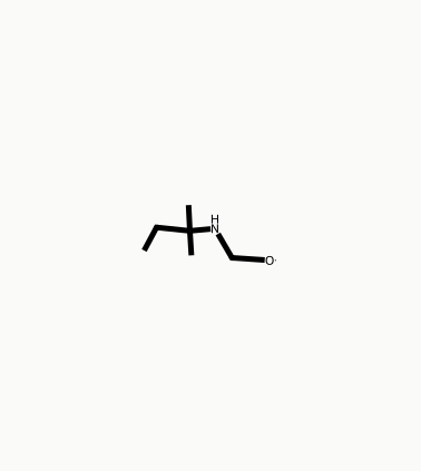 CCC(C)(C)NC[O]